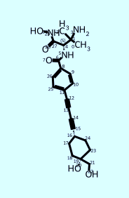 CC(C)(N)[C@H](NC(=O)c1ccc(C#CC#C[C@H]2CC[C@](O)(CO)CC2)cc1)C(=O)NO